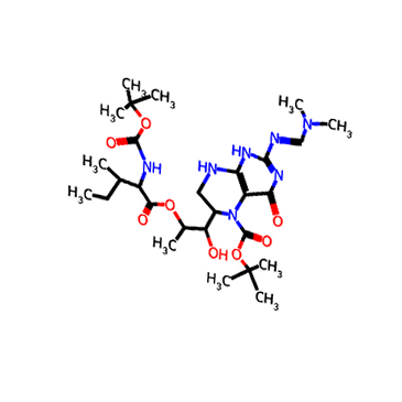 CCC(C)C(NC(=O)OC(C)(C)C)C(=O)OC(C)C(O)C1CNc2[nH]c(/N=C/N(C)C)nc(=O)c2N1C(=O)OC(C)(C)C